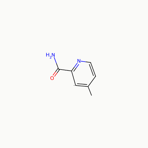 Cc1[c]c(C(N)=O)ncc1